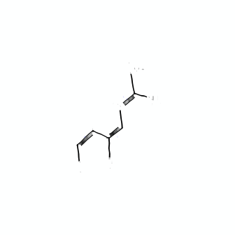 C\C=C/C(Br)=C\N=C(/N)OC